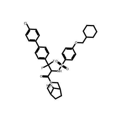 NC1C2CCC1CN(C(=O)C(NS(=O)(=O)c1ccc(OCC3CCCCC3)cc1)C(F)(F)c1ccc(-c3ccc(Cl)cc3)cc1)C2